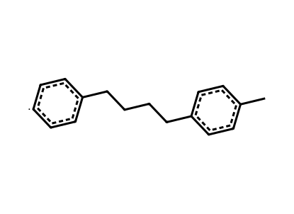 Cc1ccc(CCCCc2cc[c]cc2)cc1